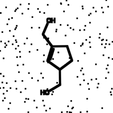 OCC1=CC(CO)CC1